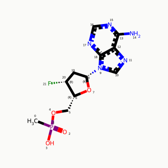 CP(=O)(O)OC[C@H]1O[C@@H](n2cnc3c(N)ncnc32)C[C@H]1F